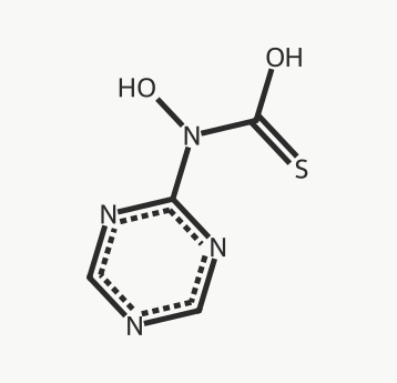 OC(=S)N(O)c1ncncn1